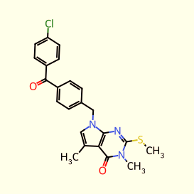 CSc1nc2c(c(C)cn2Cc2ccc(C(=O)c3ccc(Cl)cc3)cc2)c(=O)n1C